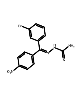 NC(=S)N/N=C(/c1ccc([N+](=O)[O-])cc1)c1cccc(Br)c1